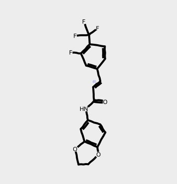 O=C(/C=C/c1ccc(C(F)(F)F)c(F)c1)Nc1ccc2c(c1)OCCO2